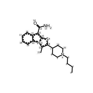 CCCCN1CCC(c2sc3c(C(N)=O)c4ccccc4n3c2C)CC1